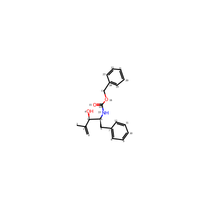 C=C(C)[C@@H](O)[C@H](Cc1ccccc1)NC(=O)OCc1ccccc1